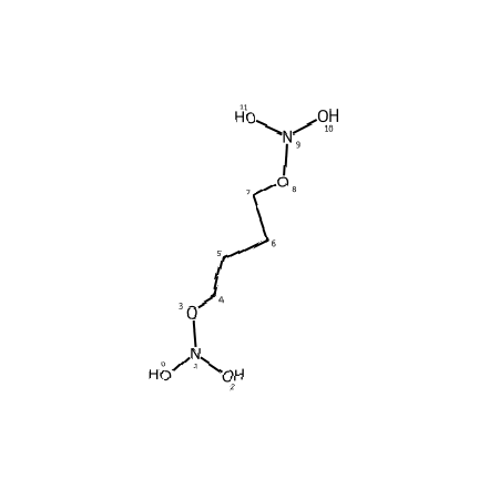 ON(O)OCCCCON(O)O